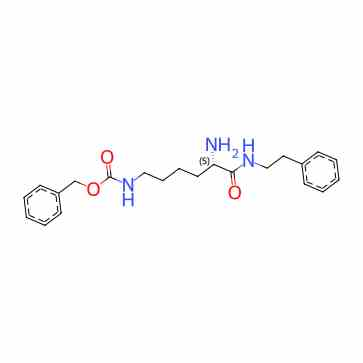 N[C@@H](CCCCNC(=O)OCc1ccccc1)C(=O)NCCc1ccccc1